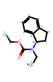 CCN(C(=O)OCCl)[C@@H]1CCc2ccccc21